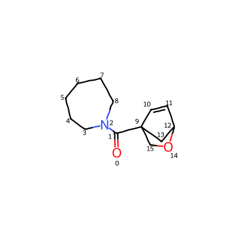 O=C(N1CCCCCC1)C12C=CC(C1)OC2